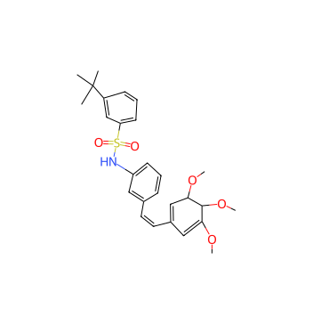 COC1=CC(/C=C\c2cccc(NS(=O)(=O)c3cccc(C(C)(C)C)c3)c2)=CC(OC)C1OC